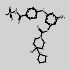 CS(=O)(=O)NC(=O)c1ccc(Oc2cc(NC(=O)N3CCC(O)(C4CCCC4)CC3)cc(C(F)(F)F)c2)cc1